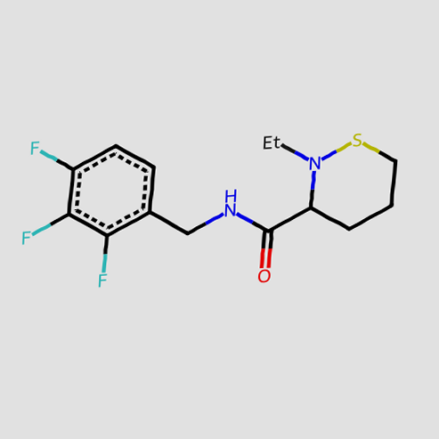 CCN1SCCCC1C(=O)NCc1ccc(F)c(F)c1F